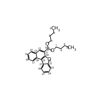 CCCCOB(OCCCC)c1cc2ccccc2c2c1oc1ccccc12